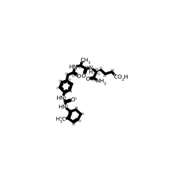 CC1=C(NC(=O)Nc2ccc(CC(=O)NC(C)C(=O)N[C@@H](CCCC(=O)O)C(N)=O)cc2)CCC=C1